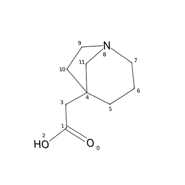 O=C(O)CC12CCCN(CC1)C2